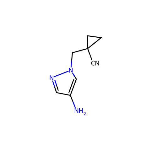 N#CC1(Cn2cc(N)cn2)CC1